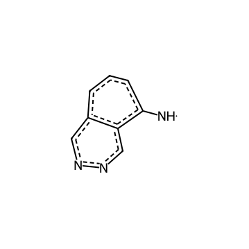 [NH]c1cccc2cnncc12